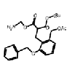 CC(=O)OCc1cccc(OCc2ccccc2)c1CC(C(=O)OCN)C(=O)OC(C)(C)C